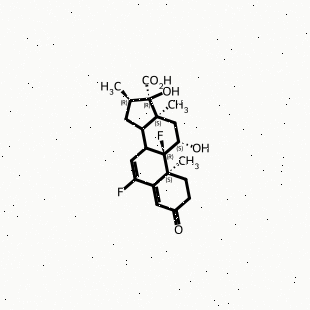 C[C@@H]1CC2C3C=C(F)C4=CC(=O)CC[C@]4(C)[C@@]3(F)[C@@H](O)C[C@]2(C)[C@@]1(O)C(=O)O